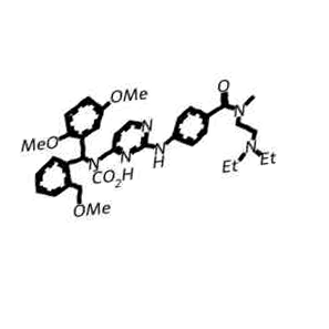 CCN(CC)CCN(C)C(=O)c1ccc(Nc2nccc(N(C(=O)O)C(c3ccccc3COC)c3cc(OC)ccc3OC)n2)cc1